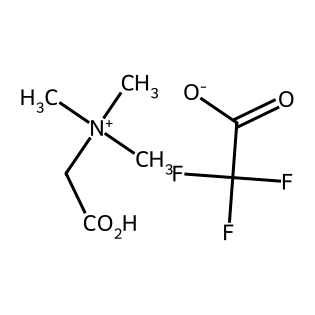 C[N+](C)(C)CC(=O)O.O=C([O-])C(F)(F)F